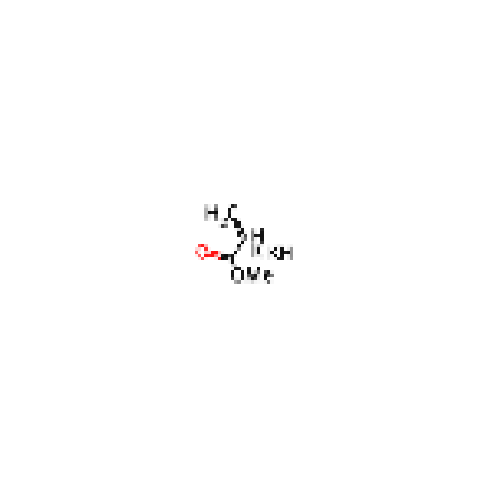 C=CC(=O)OC.[KH].[KH]